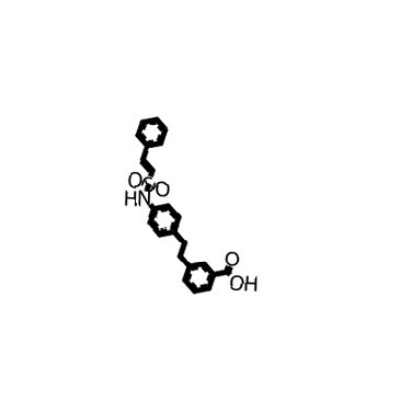 O=C(O)c1cccc(CCc2ccc(NS(=O)(=O)/C=C/c3ccccc3)cc2)c1